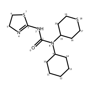 O=C(NC1=NCCS1)N(C1CCCCC1)C1CCSCC1